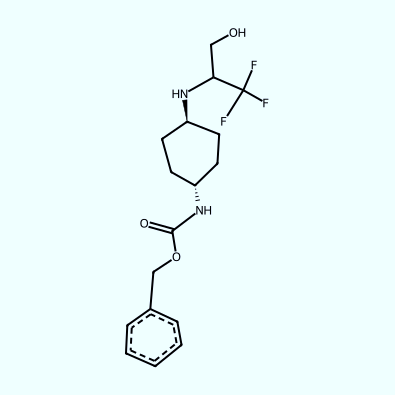 O=C(N[C@H]1CC[C@H](NC(CO)C(F)(F)F)CC1)OCc1ccccc1